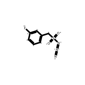 [N-]=[N+]=NS(=O)(=O)Cc1cccc(F)c1